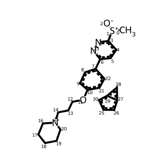 C[S+]([O-])c1ccc(-c2ccc(OCCCN3CCCCC3)cc2)nn1.c1cc2cc-2c1